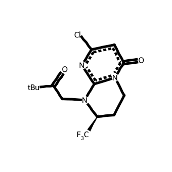 CC(C)(C)C(=O)CN1c2nc(Cl)cc(=O)n2CC[C@H]1C(F)(F)F